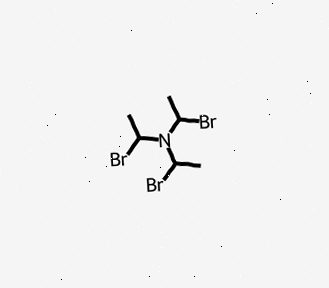 CC(Br)N(C(C)Br)C(C)Br